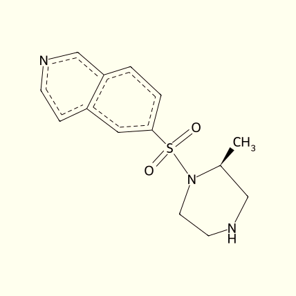 C[C@H]1CNCCN1S(=O)(=O)c1ccc2cnccc2c1